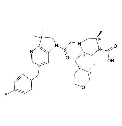 C[C@@H]1COCCN1C[C@H]1CN(C(=O)O)[C@H](C)CN1CC(=O)N1CC(C)(C)c2ncc(Cc3ccc(F)cc3)cc21